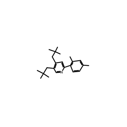 Cc1ccc(-c2cc(CC(C)(C)C)c(CC(C)(C)C)cn2)c(C)c1